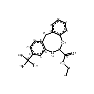 CCOC(=O)C1Oc2ccccc2Cc2ccc(C(F)(F)F)cc2O1